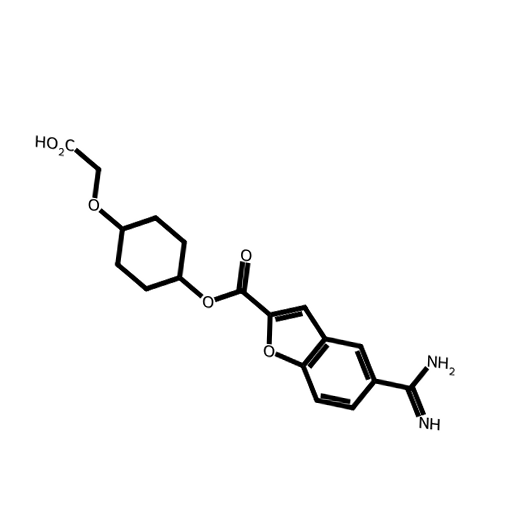 N=C(N)c1ccc2oc(C(=O)OC3CCC(OCC(=O)O)CC3)cc2c1